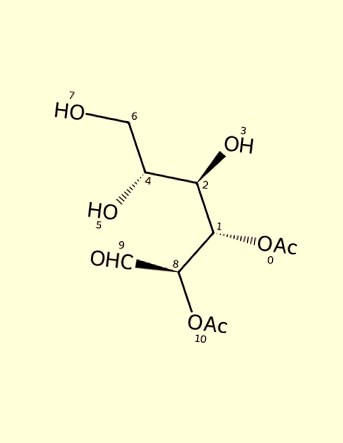 CC(=O)O[C@@H]([C@H](O)[C@H](O)CO)[C@H](C=O)OC(C)=O